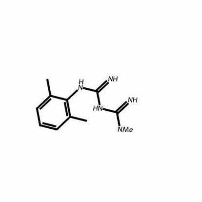 CNC(=N)NC(=N)Nc1c(C)cccc1C